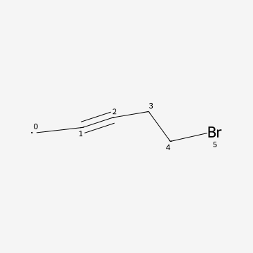 [CH2]C#CCCBr